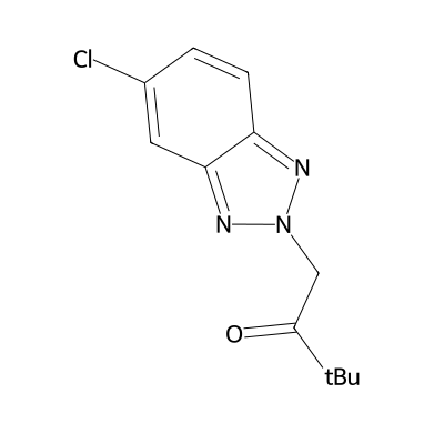 CC(C)(C)C(=O)Cn1nc2ccc(Cl)cc2n1